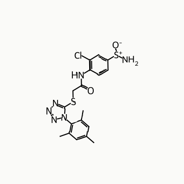 Cc1cc(C)c(-n2nnnc2SCC(=O)Nc2ccc([S+](N)[O-])cc2Cl)c(C)c1